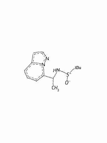 CC(N[S+]([O-])C(C)(C)C)c1cccc2ccnn12